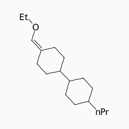 CCCC1CCC(C2CCC(=COCC)CC2)CC1